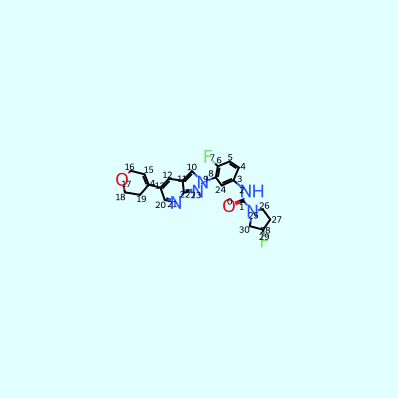 O=C(Nc1ccc(F)c(-n2cc3cc(C4=CCOCC4)cnc3n2)c1)N1CCC(F)C1